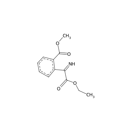 CCOC(=O)C(=N)c1ccccc1C(=O)OC